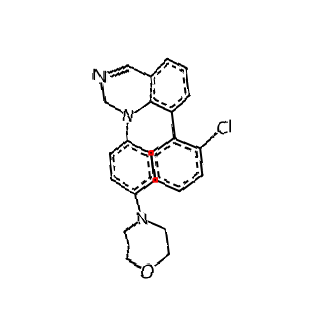 Clc1ccccc1-c1cccc2c1N(c1ccc(N3CCOCC3)cc1)CN=C2